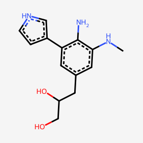 CNc1cc(CC(O)CO)cc(-c2cc[nH]c2)c1N